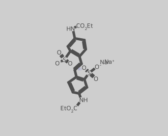 CCOC(=O)Nc1ccc(/C=C/c2ccc(NC(=O)OCC)cc2S(=O)(=O)[O-])c(S(=O)(=O)[O-])c1.[Na+].[Na+]